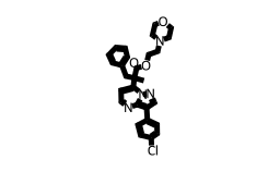 CC(Cc1ccccc1)(C(=O)OCCN1CCOCC1)c1ccnc2c(-c3ccc(Cl)cc3)cnn12